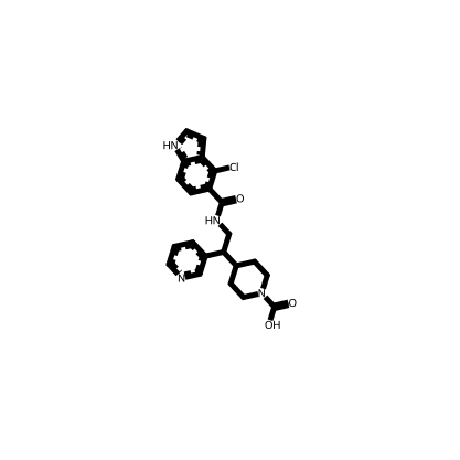 O=C(NCC(c1cccnc1)C1CCN(C(=O)O)CC1)c1ccc2[nH]ccc2c1Cl